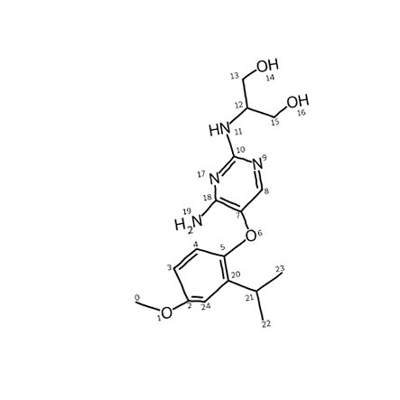 COc1ccc(Oc2cnc(NC(CO)CO)nc2N)c(C(C)C)c1